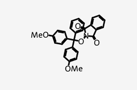 COc1ccc(C(ON2C(=O)c3ccccc3C2=O)(c2ccccc2)c2ccc(OC)cc2)cc1